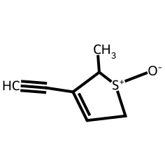 C#CC1=CC[S+]([O-])C1C